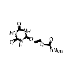 C=COC(=O)CCCCCCCCC.O=c1[nH]c(=O)[nH]c(=O)[nH]1